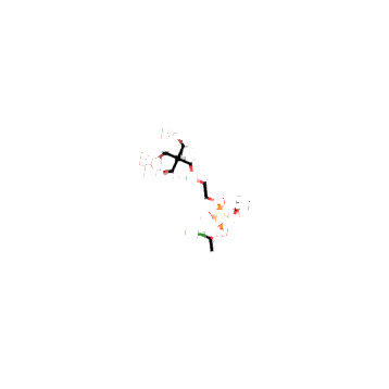 CCOP(=O)(OCCOCC(CBr)(CBr)CBr)OC(C)Cl